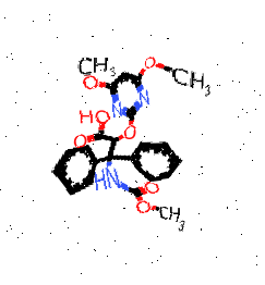 COC(=O)NC(c1ccccc1)(c1ccccc1)C(Oc1nc(OC)cc(OC)n1)C(=O)O